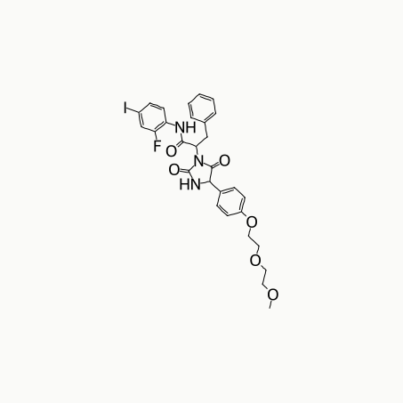 COCCOCCOc1ccc(C2NC(=O)N(C(Cc3ccccc3)C(=O)Nc3ccc(I)cc3F)C2=O)cc1